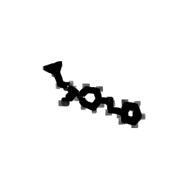 O=C(CCC1CC1)N1CCC(OCc2ccccc2)CC1